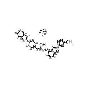 Cc1nnc(-c2cc3c(OC[C@@H](O)CN4CCC(c5cc6ccccc6s5)CC4)cccc3o2)o1.Cl.O